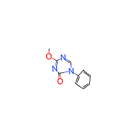 COc1ncn(-c2ccccc2)c(=O)n1